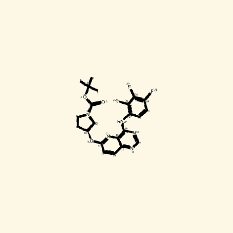 CC(C)(C)OC(=O)N1CC[C@H](Oc2ccc3ncnc(Nc4ccc(F)c(F)c4F)c3n2)C1